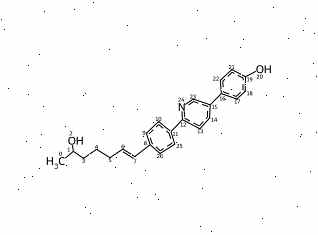 CC(O)CCCC=Cc1ccc(-c2ccc(-c3ccc(O)cc3)cn2)cc1